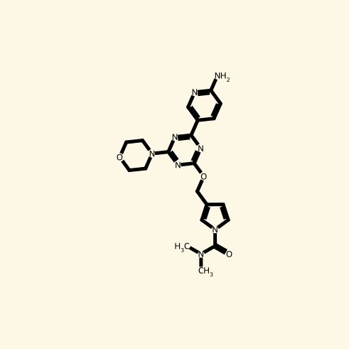 CN(C)C(=O)n1ccc(COc2nc(-c3ccc(N)nc3)nc(N3CCOCC3)n2)c1